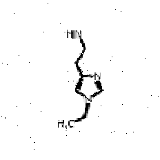 CCn1cnc(CC[NH])c1